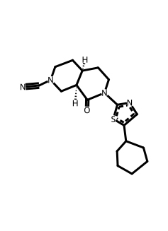 N#CN1CC[C@H]2CCN(c3ncc(C4CCCCC4)s3)C(=O)[C@H]2C1